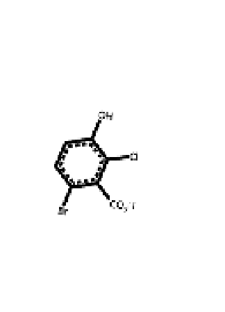 O=C(O)c1c(Br)ccc(O)c1Cl